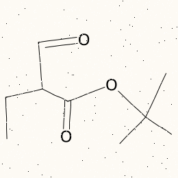 CCC(C=O)C(=O)OC(C)(C)C